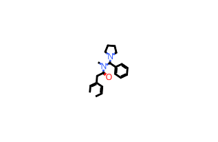 C/C=C\C(=C/C)CC(=O)N(C)C(c1ccccc1)N1CCCC1